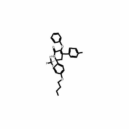 CCCCOc1ccc([C@]2(C(F)(F)F)CC(c3ccc(C)cc3)=C(Oc3ccccc3)C(=O)N2)cc1